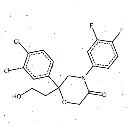 O=C1COC(CCO)(c2ccc(Cl)c(Cl)c2)CN1c1ccc(F)c(F)c1